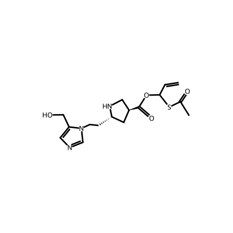 C=CC(OC(=O)[C@@H]1CN[C@@H](CCn2cncc2CO)C1)SC(C)=O